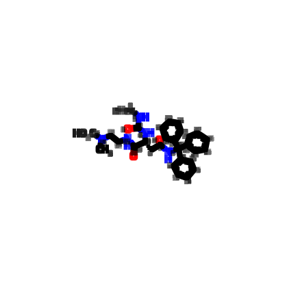 CCCCCCNC(=O)N[C@H](CC(=O)NC(c1ccccc1)(c1ccccc1)c1ccccc1)C(=O)NCCN(C)C(=O)O